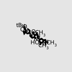 Cc1c(O)c(-c2nc(C)c3c(=O)n([C@H]4CCN(C(=O)OC(C)(C)C)C5(CC5)C4)ccc3n2)cc2cn(C)nc12